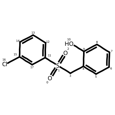 O=S(=O)(Cc1ccccc1O)c1cccc(Cl)c1